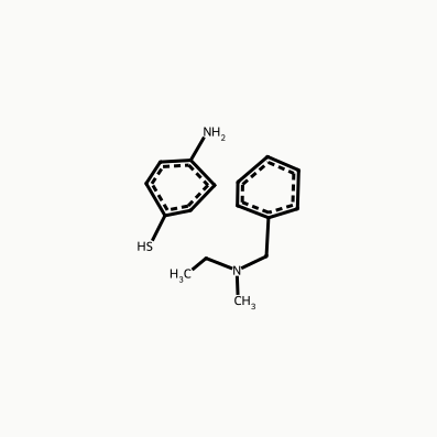 CCN(C)Cc1ccccc1.Nc1ccc(S)cc1